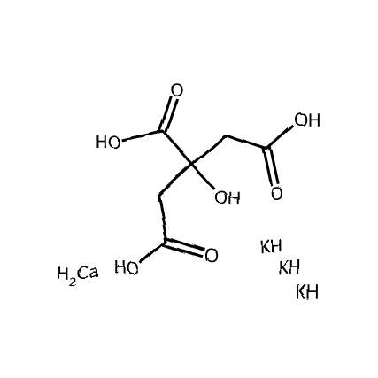 O=C(O)CC(O)(CC(=O)O)C(=O)O.[CaH2].[KH].[KH].[KH]